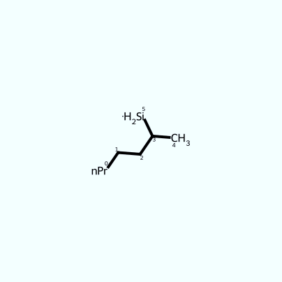 CCCCCC(C)[SiH2]